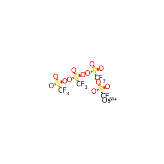 O=S(=O)([O-])C(F)(F)F.O=S(=O)([O-])C(F)(F)F.O=S(=O)([O-])C(F)(F)F.O=S(=O)([O-])C(F)(F)F.[Os+4]